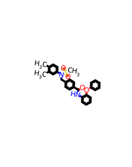 Cc1ccc(N(Cc2ccc(C(=O)Nc3ccccc3Oc3ccccc3)cc2)S(C)(=O)=O)cc1C